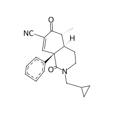 C[C@H]1C(=O)C(C#N)=C[C@@]2(c3ccccc3)C(=O)N(CC3CC3)CC[C@H]12